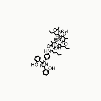 CCCCC(NC(=O)C(C)C(=O)N(O)C(CCCC)NC(=O)C(C)C(=O)N(O)C(CCCC)Nc1ccc(-n2nc(-c3ccccc3O)nc2-c2ccccc2O)cc1)N(O)C(C)=O